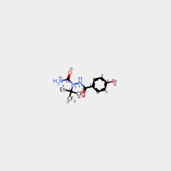 CCC(N(NC(=O)c1ccc(Br)cc1)C(N)=O)(C(F)(F)F)C(F)(F)F